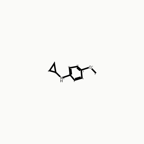 COc1ccc(NC2CC2)cc1